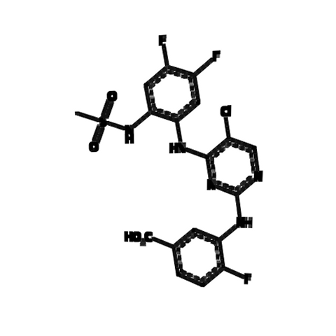 CS(=O)(=O)Nc1cc(F)c(F)cc1Nc1nc(Nc2cc(C(=O)O)ccc2F)ncc1Cl